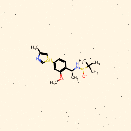 COc1cc([SH]2C=NC(C)=C2)ccc1[C@H](C)N[S+]([O-])C(C)(C)C